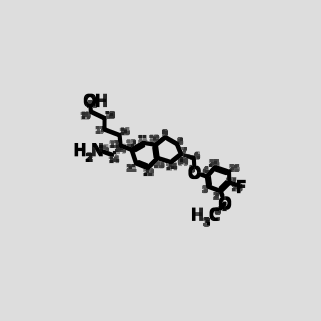 COc1cc(OC[C@@H]2CCc3cc([C@H](CN)CCCCO)ccc3C2)ccc1F